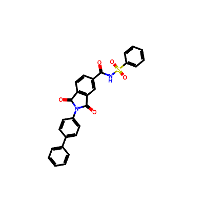 O=C(NS(=O)(=O)c1ccccc1)c1ccc2c(c1)C(=O)N(c1ccc(-c3ccccc3)cc1)C2=O